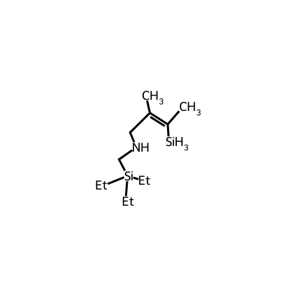 CC[Si](CC)(CC)CNCC(C)=C(C)[SiH3]